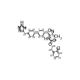 Cc1noc(-c2ccc(-c3ccc(Cc4nn[nH]n4)cc3)cc2)c1NC(=O)OCCc1ccccc1Cl